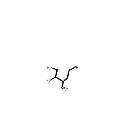 NCC(O)C(CCO)S(=O)(=O)O